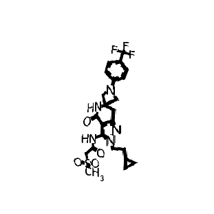 CS(=O)(=O)CC(=O)Nc1c2c(nn1CCC1CC1)CC1(CN(c3ccc(C(F)(F)F)cc3)C1)NC2=O